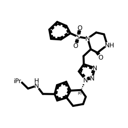 CC(C)CNCc1ccc2c(c1)CCC[C@H]2n1cc(CC2C(=O)NCCN2S(=O)(=O)c2ccccc2)nn1